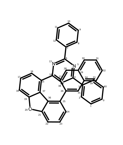 c1ccc(-c2nc(-c3ccccc3)nc(-c3cccc4oc5cccc(-c6ccc7ccccc7c6)c5c34)n2)cc1